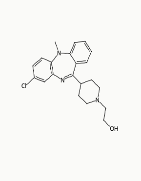 CN1c2ccc(Cl)cc2N=C(C2CCN(CCO)CC2)c2ccccc21